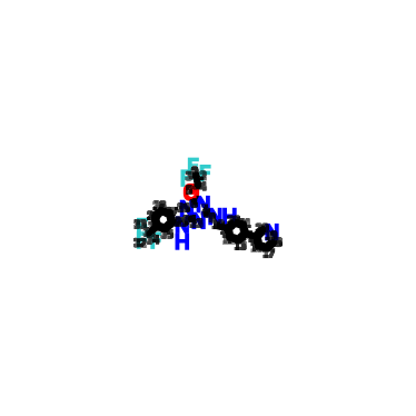 FC(F)(F)COc1nc(NCc2ccc(-c3cccnc3)cc2)nc(Nc2cccc(C(F)(F)F)c2)n1